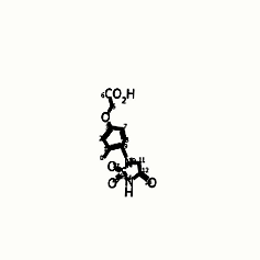 Cc1cc(OCC(=O)O)ccc1N1CC(=O)NS1(=O)=O